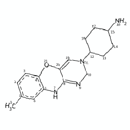 Cc1ccc2c(c1)NC1=NCN(C3CCC(N)CC3)C=C1O2